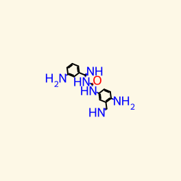 N=Cc1cc(NC(=O)NC(=N)c2cccc(N)c2)ccc1N